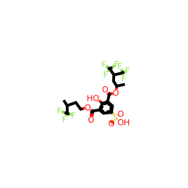 CC(CC(C(F)(F)F)C(F)(F)F)OC(=O)c1cc(S(=O)(=O)O)cc(C(=O)OCCC(C)C(F)(F)F)c1O